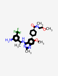 COCCN(C)C(=O)[C@H]1CC[C@H](c2cc3c(N[C@H](C)c4cc(N)cc(C(F)(F)F)c4)nc(C)nc3cc2OC)CC1